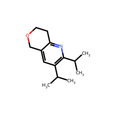 CC(C)c1cc2c(nc1C(C)C)CCOC2